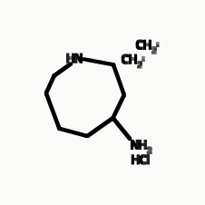 Cl.NC1CCCCNCC1.[CH2].[CH2]